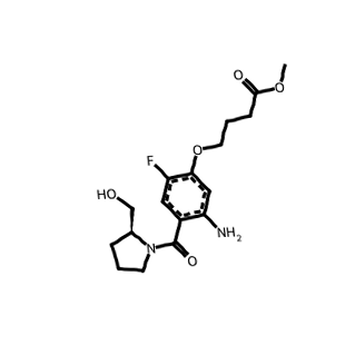 COC(=O)CCCOc1cc(N)c(C(=O)N2CCC[C@H]2CO)cc1F